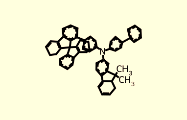 CC1(C)c2cc(N(c3ccc(-c4ccccc4)cc3)c3ccc(-c4cccc5c4C4(C6=C(C=CCC6)c6ccccc64)C4=C5C=CCC4)cc3)ccc2C2=CC=CCC21